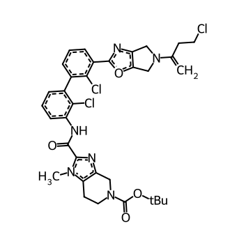 C=C(CCCl)N1Cc2nc(-c3cccc(-c4cccc(NC(=O)c5nc6c(n5C)CCN(C(=O)OC(C)(C)C)C6)c4Cl)c3Cl)oc2C1